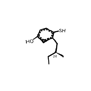 CC[C@H](C)Cc1cc(O)ccc1S